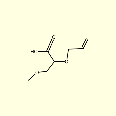 C=CCOC(COC)C(=O)O